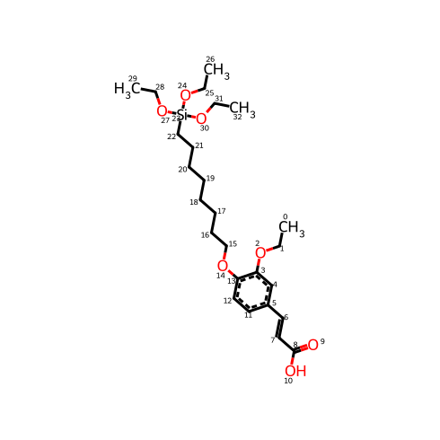 CCOc1cc(C=CC(=O)O)ccc1OCCCCCCCC[Si](OCC)(OCC)OCC